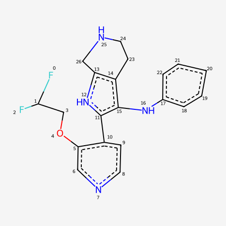 FC(F)COc1cnccc1-c1[nH]c2c(c1Nc1ccccc1)CCNC2